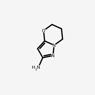 Nc1cc2n(n1)CCCO2